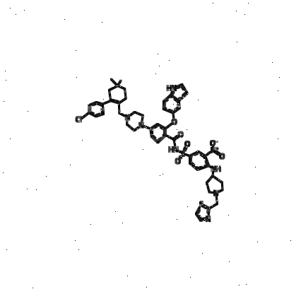 CC1(C)CCC(CN2CCN(c3ccc(C(=O)NS(=O)(=O)c4ccc(NC5CCN(Cc6nccs6)CC5)c([N+](=O)[O-])c4)c(Oc4ccc5[nH]ccc5c4)c3)CC2)=C(c2ccc(Cl)cc2)C1